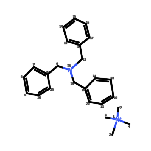 C[N+](C)(C)C.c1ccc(CN(Cc2ccccc2)Cc2ccccc2)cc1